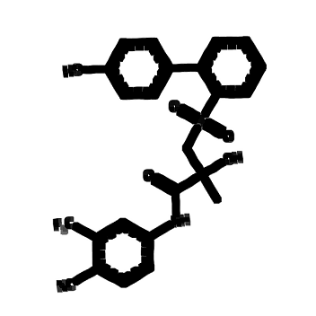 CC(O)(CS(=O)(=O)c1ccccc1-c1ccc(O)cc1)C(=O)Nc1ccc(C#N)c(C(F)(F)F)c1